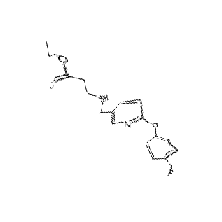 CCOC(=O)CCNCc1ccc(Oc2ccc(F)cc2)nc1